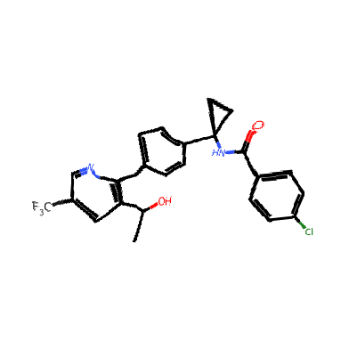 CC(O)c1cc(C(F)(F)F)cnc1-c1ccc(C2(NC(=O)c3ccc(Cl)cc3)CC2)cc1